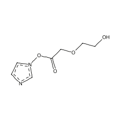 O=C(COCCO)On1ccnc1